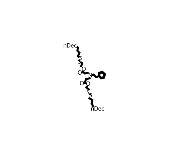 CCCCCCCCCCCCCCSSCCOC(=O)CCN(CCC(=O)OCCSSCCCCCCCCCCCCCC)CCc1ccccc1